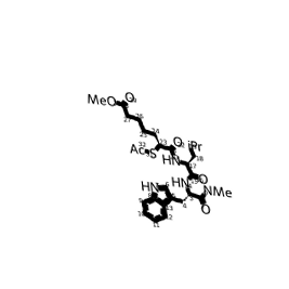 CNC(=O)[C@H](Cc1c[nH]c2ccccc12)NC(=O)[C@H](CC(C)C)NC(=O)[C@H](CCCCC(=O)OC)SC(C)=O